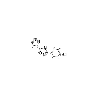 Clc1ccc(-c2noc(-c3csnn3)n2)cc1